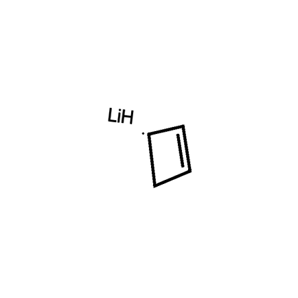 [CH]1C=CC1.[LiH]